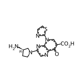 N[C@@H]1CCN(c2cnc3c(=O)c(C(=O)O)cn(-c4nccs4)c3n2)C1